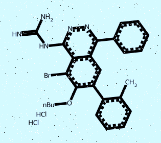 CCCCOc1c(-c2ccccc2C)cc2c(-c3ccccc3)nnc(NC(=N)N)c2c1Br.Cl.Cl